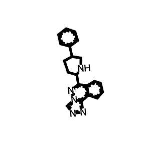 c1ccc(C2CCC(c3nn4cnnc4c4ccccc34)NC2)cc1